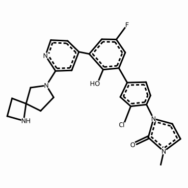 Cn1ccn(-c2ccc(-c3cc(F)cc(-c4ccnc(N5CCC6(CCN6)C5)c4)c3O)cc2Cl)c1=O